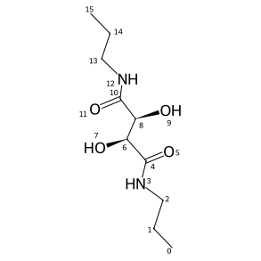 CCCNC(=O)[C@@H](O)[C@H](O)C(=O)NCCC